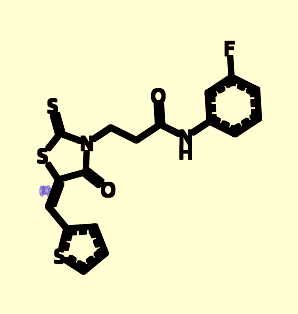 O=C(CCN1C(=O)/C(=C\c2cccs2)SC1=S)Nc1cccc(F)c1